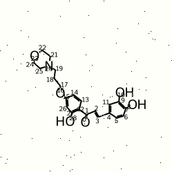 O=C(/C=C/c1ccc(O)c(O)c1)c1ccc(OCCCN2CCOCC2)cc1O